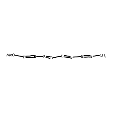 CB=BB=BB=BB=BOC